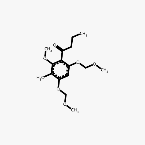 CCCC(=O)c1c(OCOC)cc(OCOC)c(C)c1OC